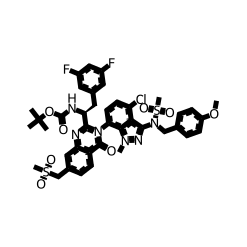 COc1ccc(CN(c2nn(C)c3c(-n4c([C@H](Cc5cc(F)cc(F)c5)NC(=O)OC(C)(C)C)nc5cc(CS(C)(=O)=O)ccc5c4=O)ccc(Cl)c23)S(C)(=O)=O)cc1